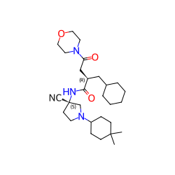 CC1(C)CCC(N2CC[C@](C#N)(NC(=O)[C@@H](CC(=O)N3CCOCC3)CC3CCCCC3)C2)CC1